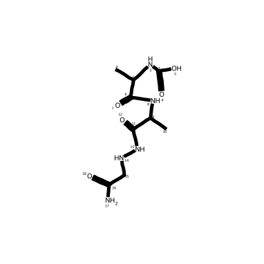 CC(NC(=O)O)C(=O)NC(C)C(=O)NNCC(N)=O